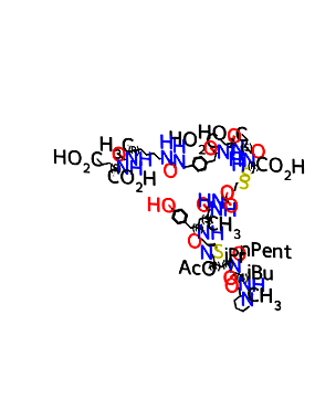 CCCCCOCN(C(=O)[C@@H](NC(=O)C1CCCCN1C)C(C)CC)[C@H](C[C@@H](OC(C)=O)c1nc(C(=O)N[C@@H](Cc2ccc(O)cc2)C[C@H](C)C(=O)NNC(=O)OCCSSC[C@H](NC(=O)[C@H](CC(=O)O)NC(=O)C(CC(=O)O)NC(=O)Cc2ccc(CNC(=O)NCCCC[C@@H](C)NC(=O)N[C@@H](CCC(=O)O)C(=O)O)cc2)C(=O)O)cs1)C(C)C